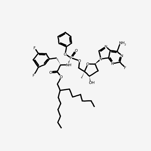 CCCCCCC(CCCCCC)COC(=O)[C@H](Cc1cc(F)cc(F)c1)N[P@](=O)(OC[C@@]1(C)O[C@@H](n2cnc3c(N)nc(F)nc32)C[C@@H]1O)Oc1ccccc1